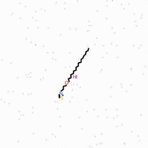 CCCCCCCCCCCCCCCCCCOCCCCN1C=CSC1.I